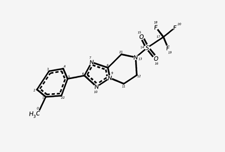 Cc1cccc(-c2nc3n(n2)CCN(S(=O)(=O)C(F)(F)F)C3)c1